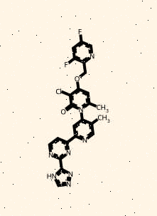 Cc1cnc(-c2ccnc(-c3nnc[nH]3)n2)cc1-n1c(C)cc(OCc2ncc(F)cc2F)c(Cl)c1=O